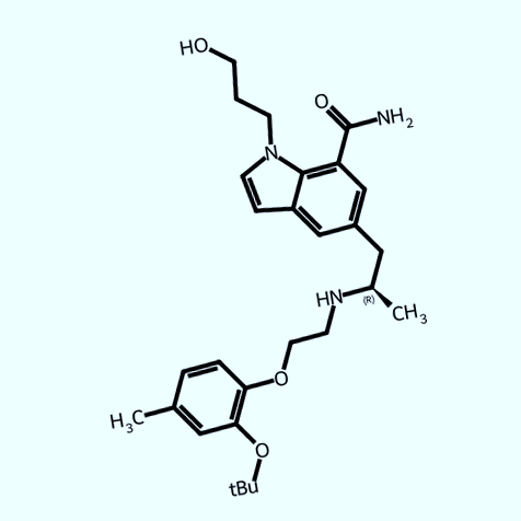 Cc1ccc(OCCN[C@H](C)Cc2cc(C(N)=O)c3c(ccn3CCCO)c2)c(OC(C)(C)C)c1